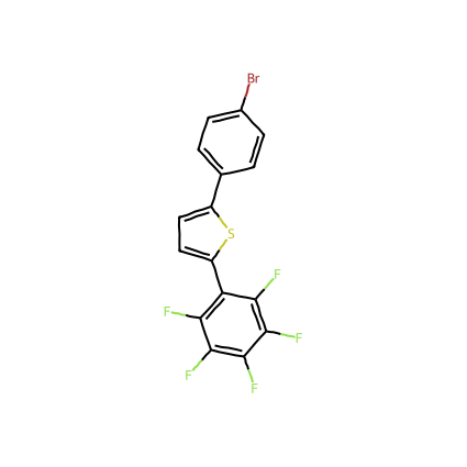 Fc1c(F)c(F)c(-c2ccc(-c3ccc(Br)cc3)s2)c(F)c1F